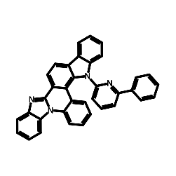 c1ccc(-c2cccc(-n3c4ccccc4c4ccc5c(c6ccccc6n6c7ccccc7nc56)c43)n2)cc1